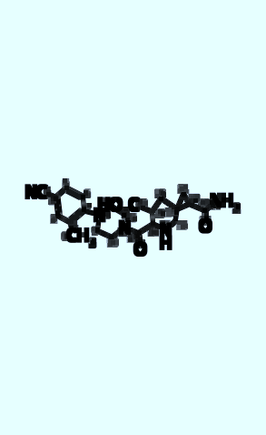 Cc1cc(C#N)ccc1N1CCN(C(=O)C2NCC3(CC2C(=O)O)CC3C(N)=O)CC1